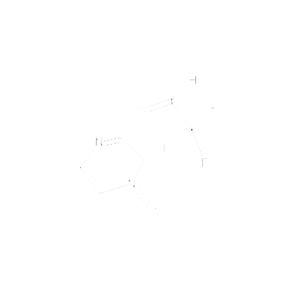 O=C(O)C(F)(F)F.O=[N+]1C=CN=CC1